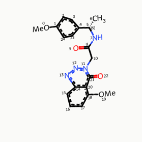 COc1ccc([C@H](C)NC(=O)Cn2nnc3cccc(OC)c3c2=O)cc1